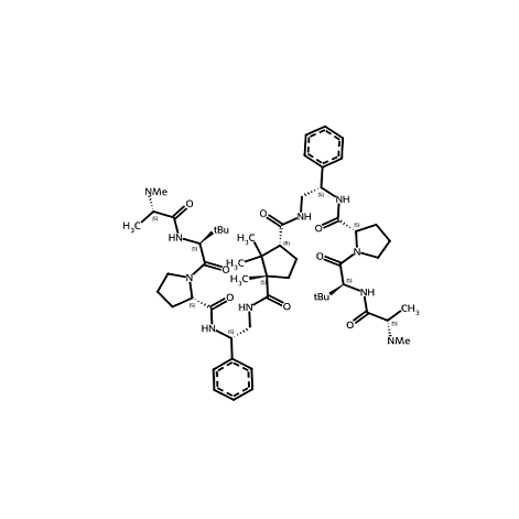 CN[C@@H](C)C(=O)N[C@H](C(=O)N1CCC[C@H]1C(=O)N[C@H](CNC(=O)[C@@H]1CC[C@](C)(C(=O)NC[C@@H](NC(=O)[C@@H]2CCCN2C(=O)[C@@H](NC(=O)[C@H](C)NC)C(C)(C)C)c2ccccc2)C1(C)C)c1ccccc1)C(C)(C)C